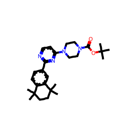 CC(C)(C)OC(=O)N1CCN(c2ccnc(-c3ccc4c(c3)C(C)(C)CCC4(C)C)n2)CC1